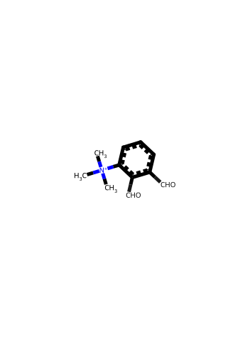 C[N+](C)(C)c1cccc(C=O)c1C=O